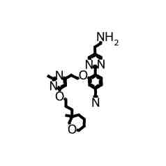 Cc1nc(CCOc2cc(C#N)ccc2-c2ncc(CCN)cn2)cc(OCCCC2(C)CCCCOC2)n1